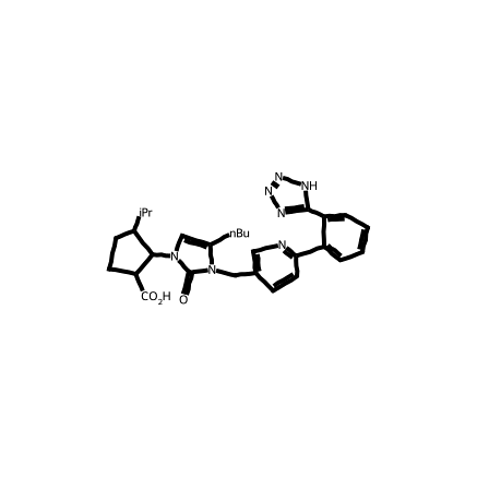 CCCCc1cn(C2C(C(=O)O)CCC2C(C)C)c(=O)n1Cc1ccc(-c2ccccc2-c2nnn[nH]2)nc1